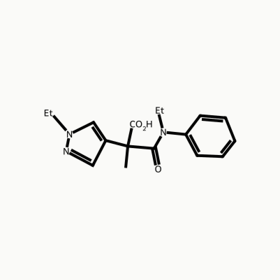 CCN(C(=O)C(C)(C(=O)O)c1cnn(CC)c1)c1ccccc1